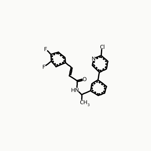 CC(NC(=O)C=Cc1ccc(F)c(F)c1)c1cccc(-c2ccc(Cl)nc2)c1